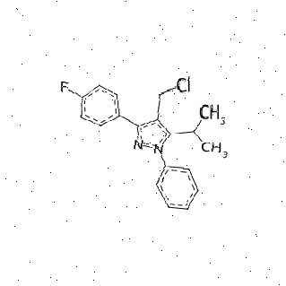 CC(C)c1c(CCl)c(-c2ccc(F)cc2)nn1-c1ccccc1